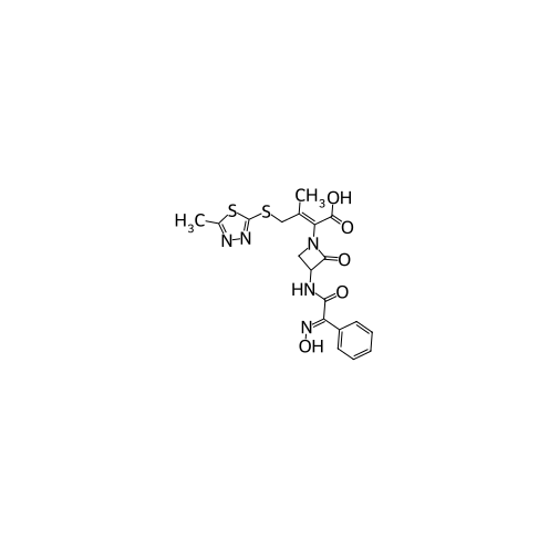 C/C(CSc1nnc(C)s1)=C(\C(=O)O)N1CC(NC(=O)/C(=N/O)c2ccccc2)C1=O